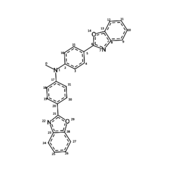 CN(c1ccc(-c2nc3ccccc3o2)cc1)c1ccc(-c2nc3ccccc3o2)cc1